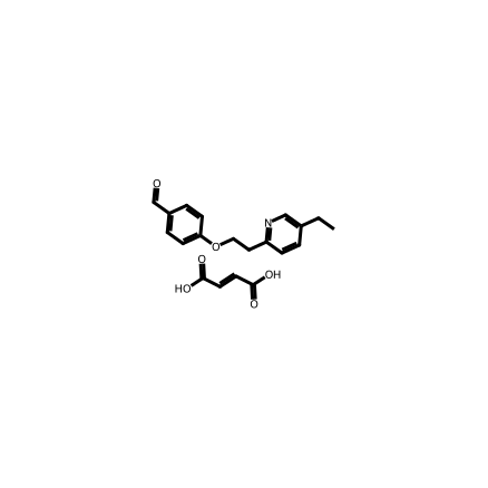 CCc1ccc(CCOc2ccc(C=O)cc2)nc1.O=C(O)C=CC(=O)O